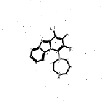 CCc1c(C)c(C#N)c2nc3ccccc3n2c1N1CCCNCC1